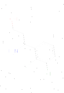 NC(CCO)c1cccc(Cl)c1Cl